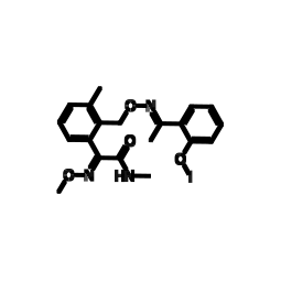 CNC(=O)/C(=N/OC)c1cccc(C)c1CO/N=C(\C)c1ccccc1OI